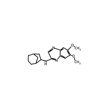 COc1cc2ncc(NC3CC4CCCC3C4)nc2cc1OC